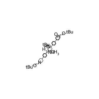 CC(C)(C)COCCN1CCC(c2ccc(CNC(C)(C)CC(NC(C)(C)C)c3ccc(-c4ccn(CCOCC(C)(C)C)c(=O)c4)cc3)cc2)CC1